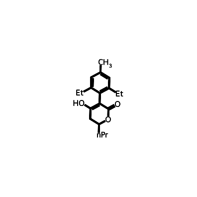 CCCC1CC(O)=C(c2c(CC)cc(C)cc2CC)C(=O)O1